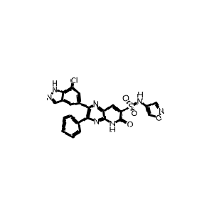 O=c1[nH]c2nc(-c3ccccc3)c(-c3cc(Cl)c4[nH]ncc4c3)nc2cc1S(=O)(=O)Nc1cnoc1